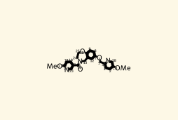 COc1ccc(COc2ccc3c(c2)CN(C(=O)c2ccc(OC)nc2)CCO3)nc1